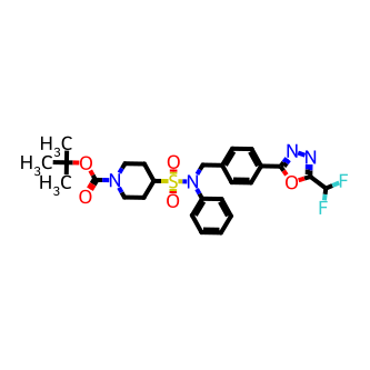 CC(C)(C)OC(=O)N1CCC(S(=O)(=O)N(Cc2ccc(-c3nnc(C(F)F)o3)cc2)c2ccccc2)CC1